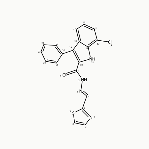 O=C(NN=Cc1nccs1)c1[nH]c2c(Cl)cccc2c1-c1ccccc1